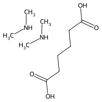 CNC.CNC.O=C(O)CCCCC(=O)O